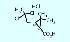 CC(Cl)(Cl)C[C@H]1[C@H](C(=O)O)C1(C)C.Cl